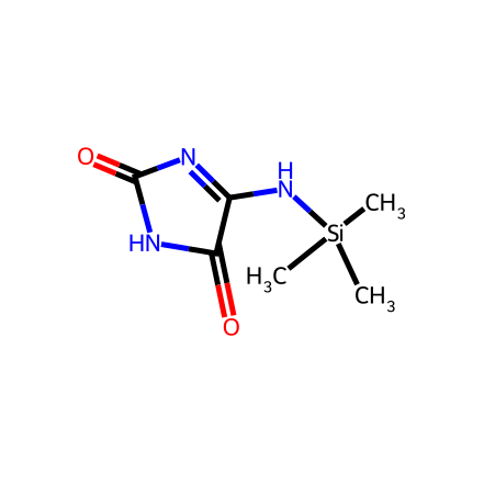 C[Si](C)(C)NC1=NC(=O)NC1=O